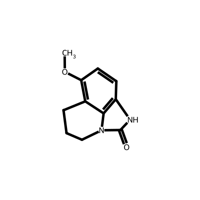 COc1ccc2[nH]c(=O)n3c2c1CCC3